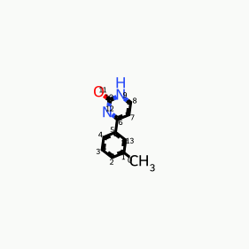 Cc1cccc(-c2cc[nH]c(=O)n2)c1